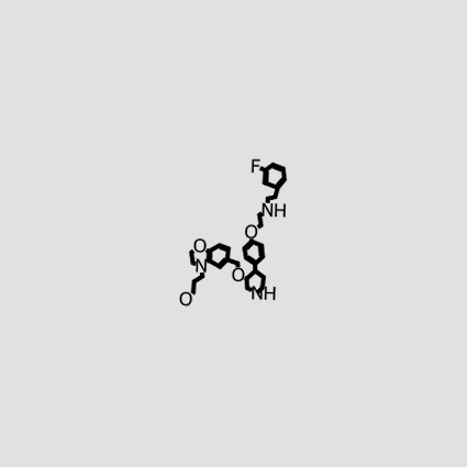 COCCCN1CCOc2ccc(COC3CNCCC3c3ccc(OCCNCCc4cccc(F)c4)cc3)cc21